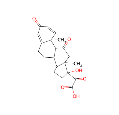 CC12C=CC(=O)C=C1CCC1C2C(=O)CC2(C)C1CCC2(O)C(=O)C(=O)O